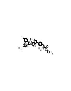 CCOC(=O)[C@@H](N)Cc1ccc(-c2csc3c(O[C@H](c4ccc(Cl)cc4-n4ccc(C)n4)C(F)(F)F)ncnc23)cc1.Cl